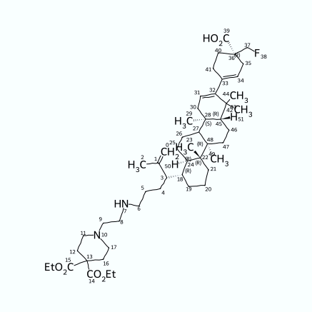 C=C(C)C(CCCNCCN1CCC(C(=O)OCC)(C(=O)OCC)CC1)[C@H]1CCC[C@]2(C)[C@@H]1CCC1[C@@]3(C)CC=C(C4=CC[C@@](CF)(C(=O)O)CC4)C(C)(C)[C@@H]3CC[C@]12C